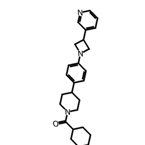 O=C(C1CCCCC1)N1CCC(c2ccc(N3CC(c4cccnc4)C3)cc2)CC1